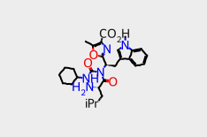 Cc1oc([C@@H](Cc2cn(C)c3ccccc23)N(C(=O)NC2CCCCC2)C(=O)[C@@H](N)CC(C)C)nc1C(=O)O